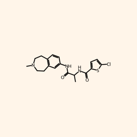 CC(NC(=O)c1ccc(Cl)s1)C(=O)Nc1ccc2c(c1)CCN(C)CC2